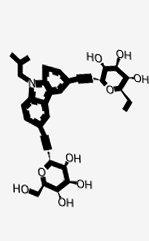 CC[C@H]1O[C@H](C#Cc2ccc3c(c2)c2cc(C#C[C@H]4O[C@H](CO)[C@@H](O)[C@H](O)[C@@H]4O)ccc2n3CC(C)C)[C@@H](O)[C@@H](O)[C@@H]1O